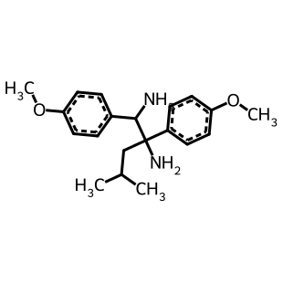 COc1ccc(C(N)C(N)(CC(C)C)c2ccc(OC)cc2)cc1